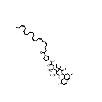 CC/C=C\C/C=C\C/C=C\C/C=C\C/C=C\C/C=C\CCC(=O)N1CC[C@@H](NC(=O)C[C@H](O)C[C@@H](O)CC[C@@H]2C3C(=C[C@H](C)CC3OC(=O)C(C)(C)CC)C=C[C@@H]2C)C1